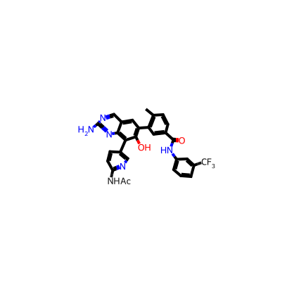 CC(=O)Nc1ccc(-c2c(O)c(-c3cc(C(=O)Nc4cccc(C(F)(F)F)c4)ccc3C)cc3cnc(N)nc23)cn1